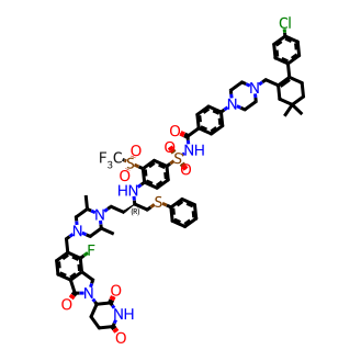 CC1CN(Cc2ccc3c(c2F)CN(C2CCC(=O)NC2=O)C3=O)CC(C)N1CC[C@H](CSc1ccccc1)Nc1ccc(S(=O)(=O)NC(=O)c2ccc(N3CCN(CC4=C(c5ccc(Cl)cc5)CCC(C)(C)C4)CC3)cc2)cc1S(=O)(=O)C(F)(F)F